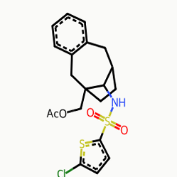 CC(=O)OCC12CCC(Cc3ccccc3C1)C2NS(=O)(=O)c1ccc(Cl)s1